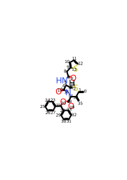 C=C1S[C@H]2C(NC(=O)Cc3cccs3)C(=O)N2C(C(=O)OC(c2ccccc2)c2ccccc2)C1=C